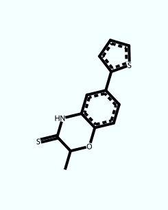 CC1Oc2ccc(-c3cccs3)cc2NC1=S